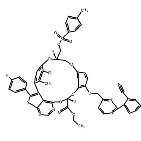 CCOC(=O)[C@H]1Cc2cc(ccc2OCc2ccnc(-c3ccccc3C#N)n2)OC[C@@H](COS(=O)(=O)c2ccc(C)cc2)Oc2ccc(c(C)c2Cl)-c2c(-c3ccc(F)cc3)sc3ncnc(c23)O1